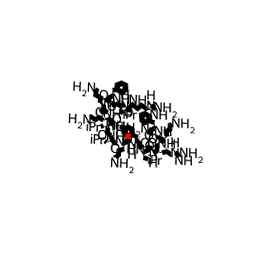 CC(C)C[C@H](NC(=O)[C@H](Cc1ccc(O)cc1)NC(=O)[C@H](CCCCN)NC(=O)[C@H](CC(C)C)NC(=O)[C@H](CC(C)C)NC(=O)[C@H](CCCCN)NC(=O)[C@H](CCCCN)NC(=O)[C@H](Cc1ccccc1)NC(=O)[C@H](CC(C)C)NC(=O)[C@@H](N)CCCNC(=N)N)C(=O)N[C@@H](CCCNC(=N)N)C(=O)N[C@@H](CCCCN)C(=O)N[C@@H](Cc1ccccc1)C(N)=O